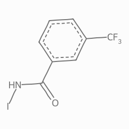 O=C(NI)c1cccc(C(F)(F)F)c1